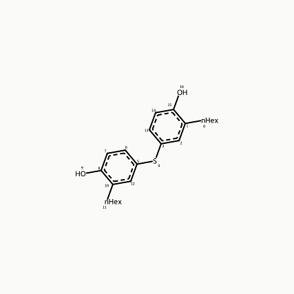 CCCCCCc1cc(Sc2ccc(O)c(CCCCCC)c2)ccc1O